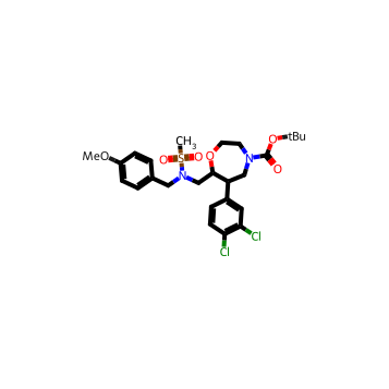 COc1ccc(CN(CC2OCCN(C(=O)OC(C)(C)C)CC2c2ccc(Cl)c(Cl)c2)S(C)(=O)=O)cc1